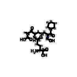 CN(C(=O)O)C(=O)C(CSC/C(=N/O)C(=O)N1CCCCC1)NC(=O)CCC(N)C(=O)O